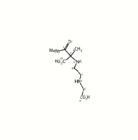 CNC(=O)C(C)(NCCNCC(=O)O)C(=O)O